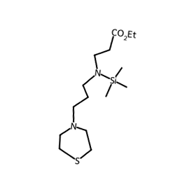 CCOC(=O)CCN(CCCN1CCSCC1)[Si](C)(C)C